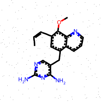 C/C=C\c1cc(Cc2cnc(N)nc2N)c2cccnc2c1OC